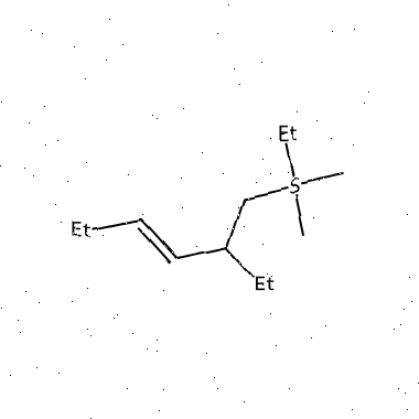 CCC=CC(CC)CS(C)(C)CC